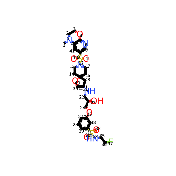 CN1CCOc2ncc(S(=O)(=O)N3CCC4(CC3)C[C@@H](NCC(O)COc3cccc(S(=O)(=O)NCCF)c3)CO4)cc21